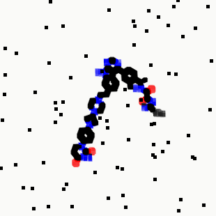 Cc1cc(-c2ncnc3[nH]c4cc(CCN5CCN(C6CN(c7ccc(N8CCC(=O)NC8=O)cc7)C6)CC5)ccc4c23)ccc1[C@@H](C)NC(=O)c1nc(C(C)(C)C)no1